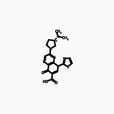 CN(C)[C@H]1CCN(c2cnc3c(=O)c(C(=O)O)cn(-c4nccs4)c3n2)C1